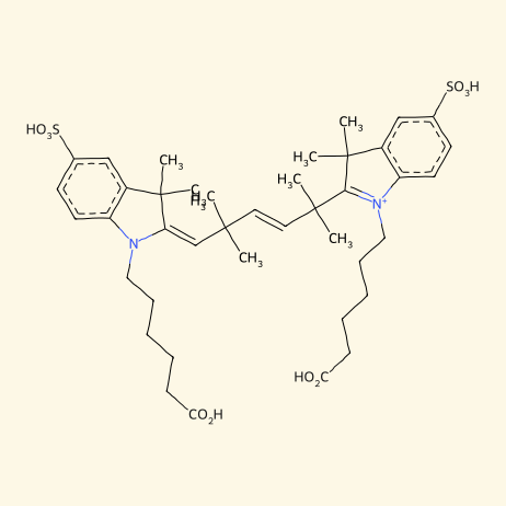 CC(C)(/C=C/C(C)(C)C1=[N+](CCCCCC(=O)O)c2ccc(S(=O)(=O)O)cc2C1(C)C)/C=C1/N(CCCCCC(=O)O)c2ccc(S(=O)(=O)O)cc2C1(C)C